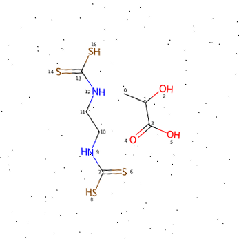 CC(O)C(=O)O.S=C(S)NCCNC(=S)S